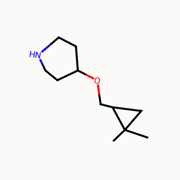 CC1(C)CC1COC1CCNCC1